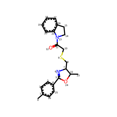 Cc1ccc(C2=NC(CSCC(=O)N3CCc4ccccc43)C(C)O2)cc1